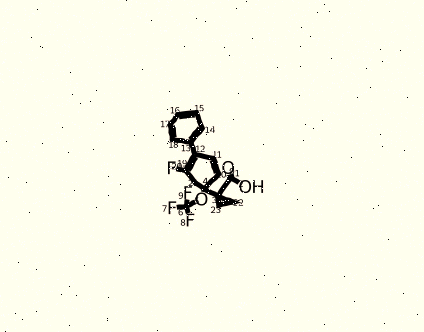 O=C(O)C1(C2(OC(F)(F)F)C=CC(c3ccccc3)=C(F)C2)CC1